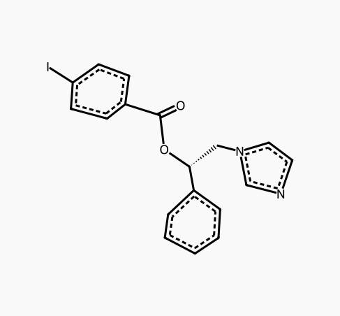 O=C(O[C@H](Cn1ccnc1)c1ccccc1)c1ccc(I)cc1